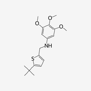 COc1cc(NCc2ccc(C(C)(C)C)s2)cc(OC)c1OC